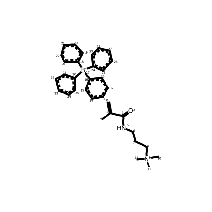 C=C(C)C(=O)NCCC[N+](C)(C)C.c1ccc([B-](c2ccccc2)(c2ccccc2)c2ccccc2)cc1